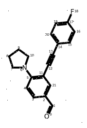 O=Cc1ccc(N2CCCC2)c(C#Cc2ccc(F)cc2)c1